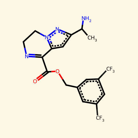 CC(N)c1cc2n(n1)CCN=C2C(=O)OCc1cc(C(F)(F)F)cc(C(F)(F)F)c1